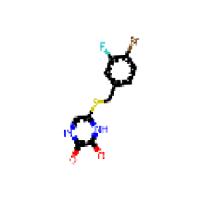 O=c1[nH]cc(SCc2ccc(Br)c(F)c2)[nH]c1=O